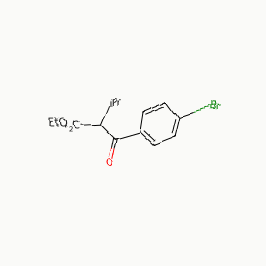 CCOC(=O)C(C(=O)c1ccc(Br)cc1)C(C)C